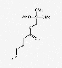 CC=CC=CC(=O)OC[Si](OC)(OC)OC